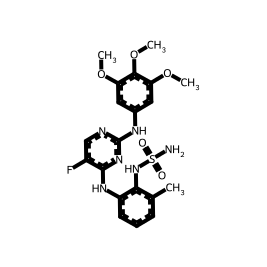 COc1cc(Nc2ncc(F)c(Nc3cccc(C)c3NS(N)(=O)=O)n2)cc(OC)c1OC